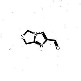 O=Cc1cn2c(n1)CSC2